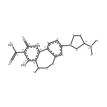 CC1CCc2cc(N3CCC(N(C)C)C3)ccc2-c2[nH]c(=O)c(C(=O)O)c(O)c21